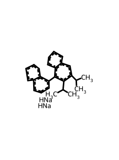 CC(C)c1cc2ccccc2c(-c2cccc3ccccc23)c1C(C)C.[NaH].[NaH]